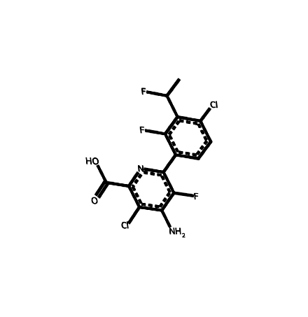 CC(F)c1c(Cl)ccc(-c2nc(C(=O)O)c(Cl)c(N)c2F)c1F